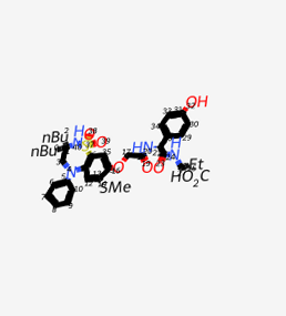 CCCCC1(CCCC)CN(c2ccccc2)c2cc(SC)c(OCC(=O)N[C@@H](C(=O)NC(CC)C(=O)O)c3ccc(O)cc3)cc2S(=O)(=O)N1